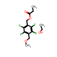 CCC(=O)OCc1c(F)c(F)c(COC)c(F)c1F.CCO